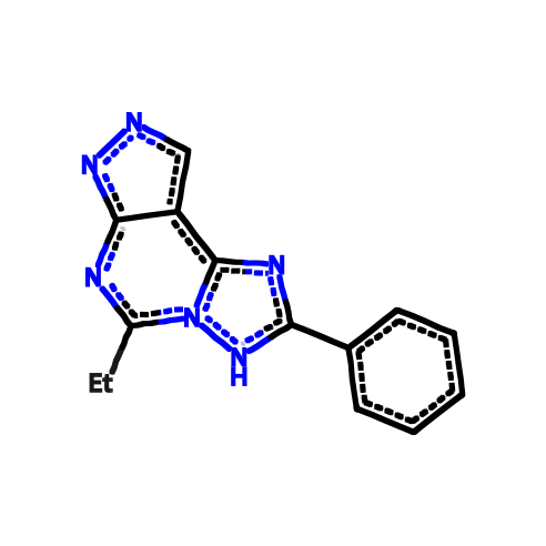 CCc1nc2nncc-2c2nc(-c3ccccc3)[nH]n12